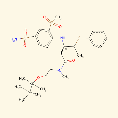 CC(Sc1ccccc1)[C@@H](CC(=O)N(C)CCO[Si](C)(C)C(C)(C)C)Nc1ccc(S(N)(=O)=O)cc1S(C)(=O)=O